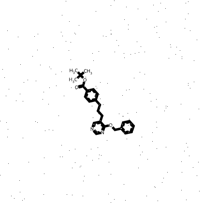 CC(C)(C)OC(=O)c1ccc(CCCc2cncnc2OCc2ccccc2)cc1